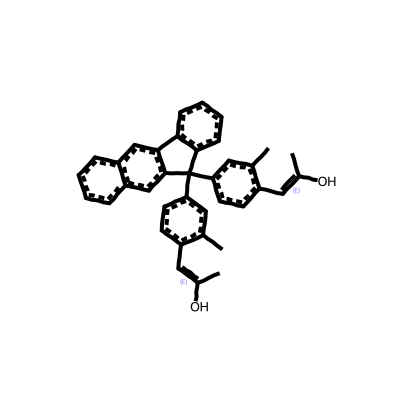 C/C(O)=C\c1ccc(C2(c3ccc(/C=C(\C)O)c(C)c3)c3ccccc3-c3cc4ccccc4cc32)cc1C